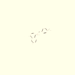 Nc1ccc(C(=O)Nc2ccc(S(=O)(=O)O)c3cc(O)ccc23)cc1